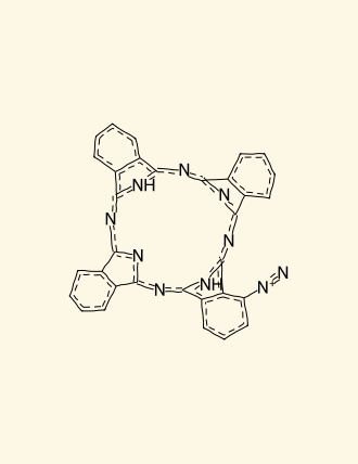 N#[N+]c1cccc2c3nc4nc(nc5[nH]c(nc6nc(nc([nH]3)c12)-c1ccccc1-6)c1ccccc51)-c1ccccc1-4